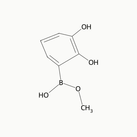 COB(O)c1cccc(O)c1O